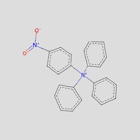 O=[N+]([O-])c1ccc([N+](c2ccccc2)(c2ccccc2)c2ccccc2)cc1